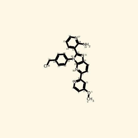 COc1ccnc(-c2ccc3nc(-c4cccnc4N)n(-c4ccc(CCl)cc4)c3n2)c1